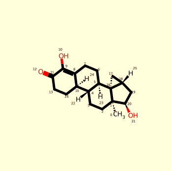 C[C@]12CC[C@H]3[C@@H](CCC4=C(O)C(=O)CC[C@@H]43)[C@]13C[C@@H]3C[C@H]2O